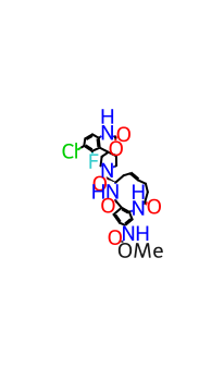 COC(=O)Nc1ccc2c(c1)NC(=O)CC/C=C/C[C@H](C(=O)N1CCC3(CC1)OC(=O)Nc1ccc(Cl)c(F)c13)NC2=O